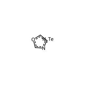 [TeH2].c1cocn1